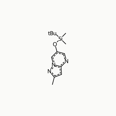 Cc1cc2ncc(O[Si](C)(C)C(C)(C)C)cn2n1